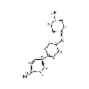 CC(C)N1CCC(OC2CCN(c3ccc(C#N)nc3)CC2)CC1